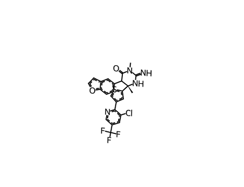 CN1C(=N)N[C@](C)(c2cc(-c3ncc(C(F)(F)F)cc3Cl)cs2)C(c2ccc3occc3c2)C1=O